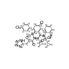 O=C1[C@@H](Cc2nnn[nH]2)O[C@H](c2cccc(Cl)c2)[C@@H](c2ccc(Cl)cc2)N1[C@@H](CN(c1ccccc1F)S(=O)(=O)C1CC1)C1CC1